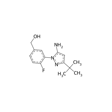 CC(C)(C)c1cc(N)n(-c2cc(CO)ccc2F)n1